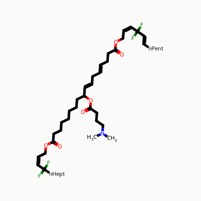 CCCCC/C=C/C(F)(F)/C=C\COC(=O)CC/C=C/C/C=C/C(CCCCCCCC(=O)OC/C=C\C(F)(F)CCCCCCC)OC(=O)CCCN(C)C